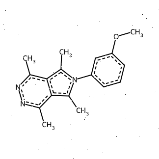 COc1cccc(-n2c(C)c3c(C)nnc(C)c3c2C)c1